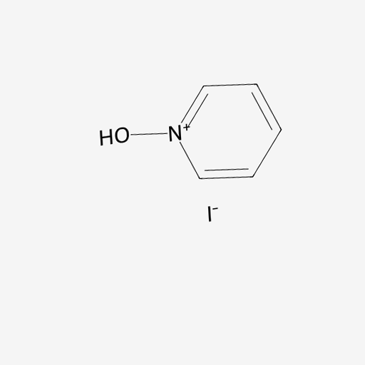 O[n+]1ccccc1.[I-]